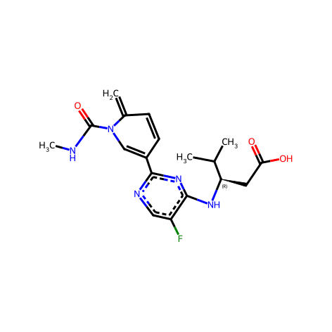 C=C1C=CC(c2ncc(F)c(N[C@H](CC(=O)O)C(C)C)n2)=CN1C(=O)NC